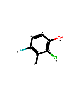 Cc1c(F)ccc(O)c1Cl